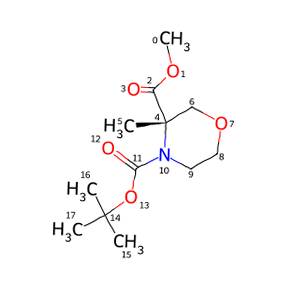 COC(=O)[C@]1(C)COCCN1C(=O)OC(C)(C)C